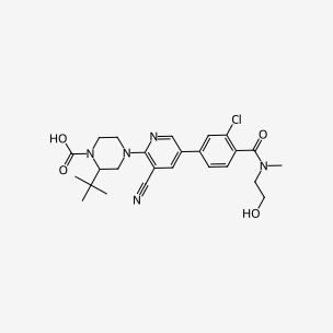 CN(CCO)C(=O)c1ccc(-c2cnc(N3CCN(C(=O)O)C(C(C)(C)C)C3)c(C#N)c2)cc1Cl